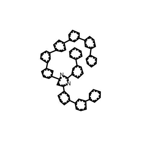 c1ccc(-c2cccc(-c3cccc(-c4ccc(-c5cccc(-c6cccc(-c7cc(-c8cccc(-c9cccc(-c%10ccccc%10)c9)c8)nc(-c8cccc(-c9ccccc9)c8)n7)c6)c5)cc4)c3)c2)cc1